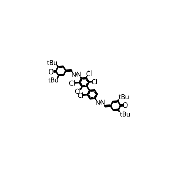 CC(C)(C)C1=CC(=C/N=N/c2ccc(-c3c(Cl)c(Cl)c(/N=N/C=C4C=C(C(C)(C)C)C(=O)C(C(C)(C)C)=C4)c(Cl)c3Cl)c(Cl)c2)C=C(C(C)(C)C)C1=O